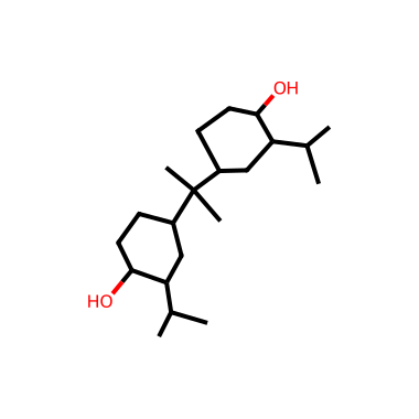 CC(C)C1CC(C(C)(C)C2CCC(O)C(C(C)C)C2)CCC1O